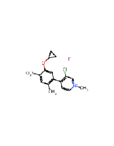 Cc1cc([N+](=O)[O-])c(OC2CC2)cc1-c1cc[n+](C)cc1Cl.[I-]